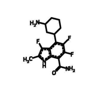 Cc1[nH]c2c(C(N)=O)c(F)c(F)c(C3CCCC(N)C3)c2c1F